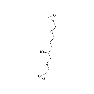 OC(CCCOCC1CO1)COCC1CO1